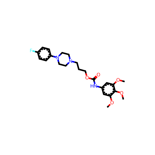 COc1cc(NC(=O)OCCCN2CCN(c3ccc(F)cc3)CC2)cc(OC)c1OC